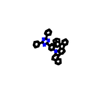 c1ccc(-c2nc(-c3ccccc3)nc(-c3ccc(-n4c5ccc6ccccc6c5c5ccc6c(c54)C4(c5ccccc5-6)C5CC6CC(C5)CC4C6)cc3)n2)cc1